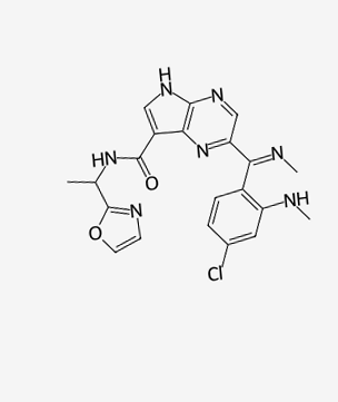 C/N=C(/c1cnc2[nH]cc(C(=O)NC(C)c3ncco3)c2n1)c1ccc(Cl)cc1NC